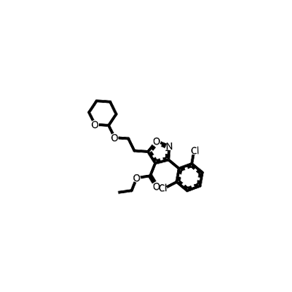 CCOC(=O)c1c(-c2c(Cl)cccc2Cl)noc1CCOC1CCCCO1